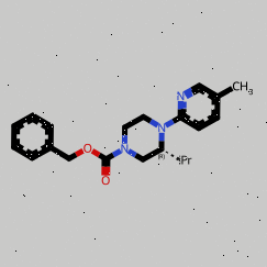 Cc1ccc(N2CCN(C(=O)OCc3ccccc3)C[C@H]2C(C)C)nc1